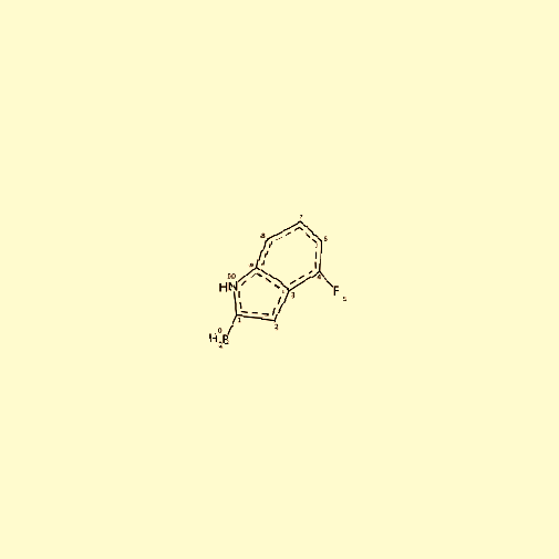 Bc1cc2c(F)cccc2[nH]1